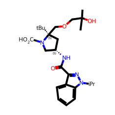 CC(C)n1nc(C(=O)N[C@@H]2CN(C(=O)O)[C@](COCC(C)(C)O)(C(C)(C)C)C2)c2ccccc21